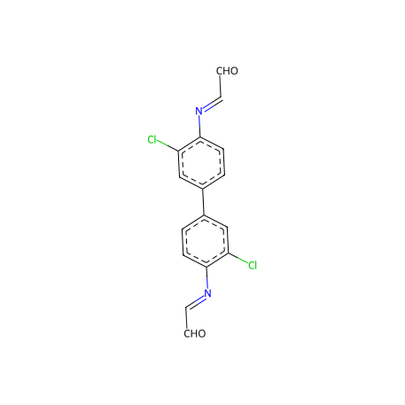 O=CC=Nc1ccc(-c2ccc(N=CC=O)c(Cl)c2)cc1Cl